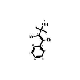 CC(C)(O)/C(Br)=C(\Br)c1ccccc1